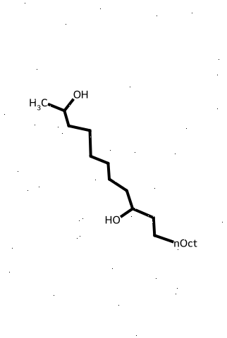 CCCCCCCCCCC(O)CCCCCCC(C)O